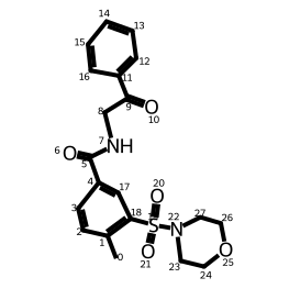 Cc1ccc(C(=O)NCC(=O)c2ccccc2)cc1S(=O)(=O)N1CCOCC1